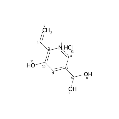 C=Cc1ncc(C(O)O)cc1O.Cl